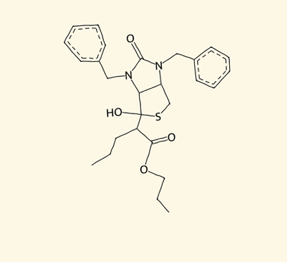 CCCOC(=O)C(CCC)C1(O)SCC2C1N(Cc1ccccc1)C(=O)N2Cc1ccccc1